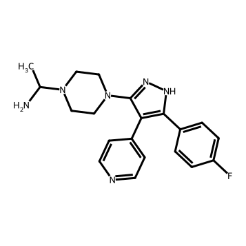 CC(N)N1CCN(c2n[nH]c(-c3ccc(F)cc3)c2-c2ccncc2)CC1